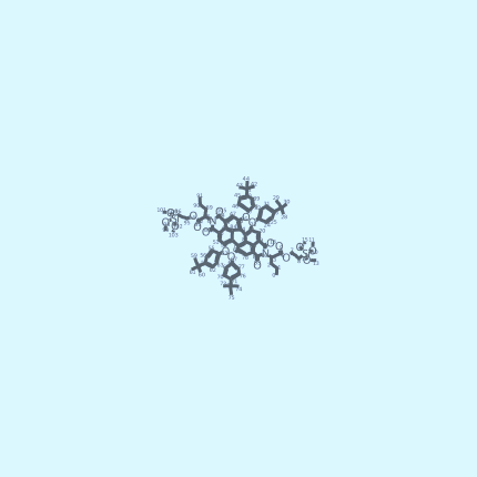 CCCC(C(=O)OCC[Si](OC)(OC)OC)N1C(=O)c2cc(Oc3ccc(C(C)(C)C)cc3)c3c4c(Oc5ccc(C(C)(C)C)cc5)cc5c6c(cc(Oc7ccc(C(C)(C)C)cc7)c(c7c(Oc8ccc(C(C)(C)C)cc8)cc(c2c37)C1=O)c64)C(=O)N(C(CCC)C(=O)OCC[Si](OC)(OC)OC)C5=O